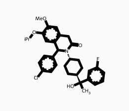 COc1cc2c(cc1OC(C)C)C(c1ccc(Cl)cc1)N([C@H]1CC[C@H](C(C)(O)c3cccc(F)c3)CC1)C(=O)C2